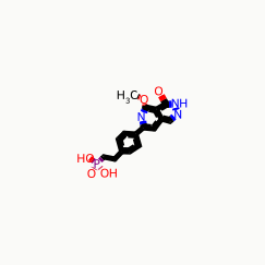 COc1nc(-c2ccc(CCP(=O)(O)O)cc2)cc2cn[nH]c(=O)c12